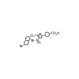 CCOc1cc(-c2ccc(C(=O)O)cc2)nn1CCOc1ccc2cc(Br)ccc2c1Br